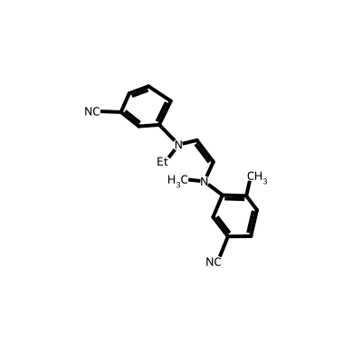 CCN(/C=C\N(C)c1cc(C#N)ccc1C)c1cccc(C#N)c1